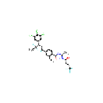 Cc1cc(/C(F)=C/C(c2cc(Cl)c(Cl)c(Cl)c2)C(C)(F)F)ccc1C(=O)NC(C)NC(=O)CCC(F)(F)F